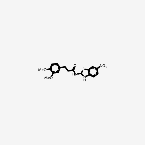 COc1ccc(CCC(=O)NC2Nc3ccc([N+](=O)[O-])cc3S2)cc1OC